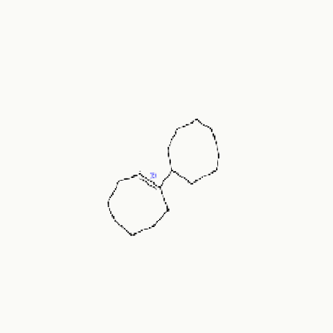 [C]1=C(/C2CCCCCCC2)CCCCCC/1